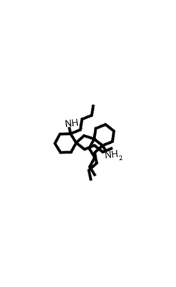 CCCCC1(N)CCCCC1(CCCC)CC1(CCCC)CCCCC1(N)CCCC